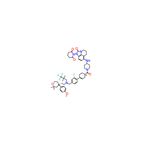 COc1ccc([C@]2(CCN(Cc3ccc(C4=CC[C@H](C(=O)N5CCC(Nc6ccc7c8c6CCCn8c(=O)n7N6C(=O)CCCC6=O)CC5)CC4)c(F)c3)CC(C)(C)C(F)(F)F)CCOC(C)(C)C2)cc1